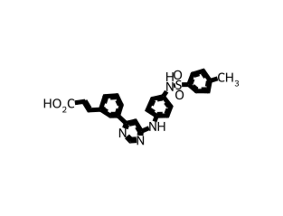 Cc1ccc(S(=O)(=O)Nc2ccc(Nc3cc(-c4cccc(C=CC(=O)O)c4)ncn3)cc2)cc1